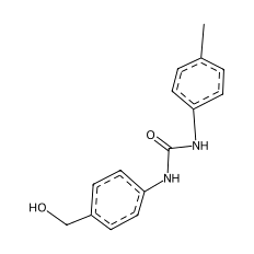 Cc1ccc(NC(=O)Nc2ccc(CO)cc2)cc1